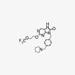 O=c1[nH]c2cnc(OCCOC(F)(F)F)nc2n1Cc1ccc(CN2CCCC2)cc1